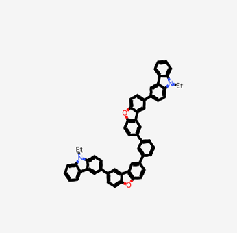 CCn1c2ccccc2c2cc(-c3ccc4oc5ccc(-c6cccc(-c7ccc8oc9ccc(-c%10ccc%11c(c%10)c%10ccccc%10n%11CC)cc9c8c7)c6)cc5c4c3)ccc21